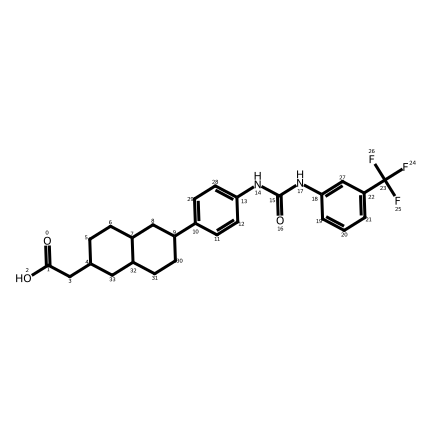 O=C(O)CC1CCC2CC(c3ccc(NC(=O)Nc4cccc(C(F)(F)F)c4)cc3)CCC2C1